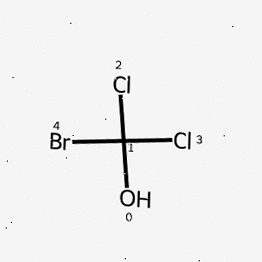 OC(Cl)(Cl)Br